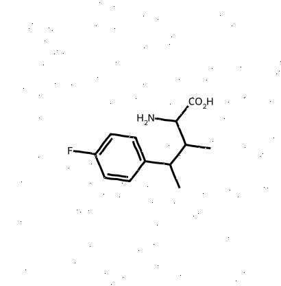 CC(c1ccc(F)cc1)C(C)C(N)C(=O)O